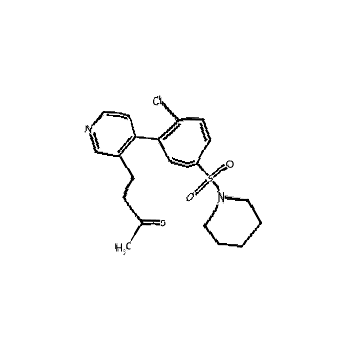 CC(=O)CCc1cnccc1-c1cc(S(=O)(=O)N2CCCCC2)ccc1Cl